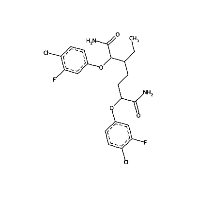 CCC(CCC(Oc1ccc(Cl)c(F)c1)C(N)=O)C(Oc1ccc(Cl)c(F)c1)C(N)=O